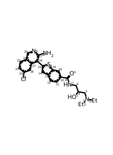 CCN(CC)CC(O)CNC(=O)c1ccc2cc(-c3c(N)ncc4ccc(Cl)cc34)sc2c1